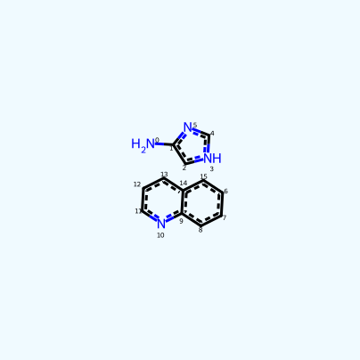 Nc1c[nH]cn1.c1ccc2ncccc2c1